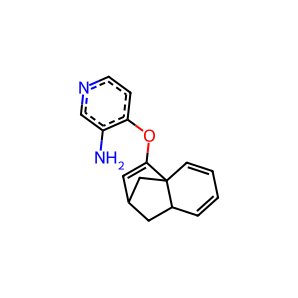 Nc1cnccc1OC1=CC2CC3C=CC=CC13C2